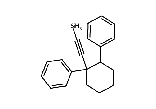 [SiH3]C#CC1(c2ccccc2)CCCCC1c1ccccc1